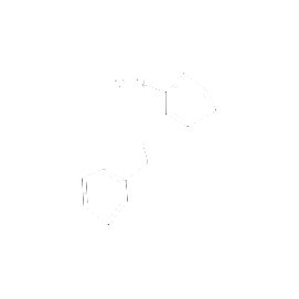 CNc1ccccc1OCc1ccccc1